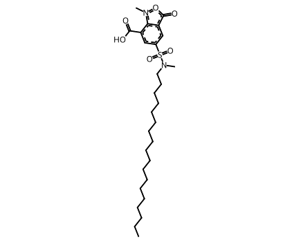 CCCCCCCCCCCCCCCCCCN(C)S(=O)(=O)c1cc(C(=O)O)c2c(c1)c(=O)on2C